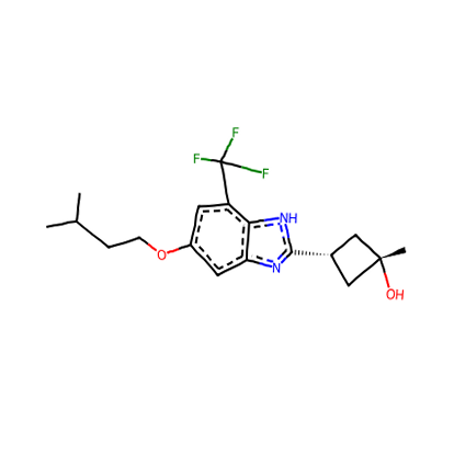 CC(C)CCOc1cc(C(F)(F)F)c2[nH]c([C@H]3C[C@@](C)(O)C3)nc2c1